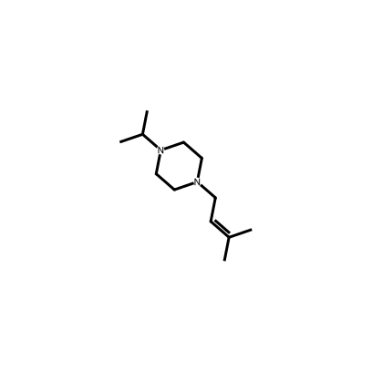 CC(C)=CCN1CCN(C(C)C)CC1